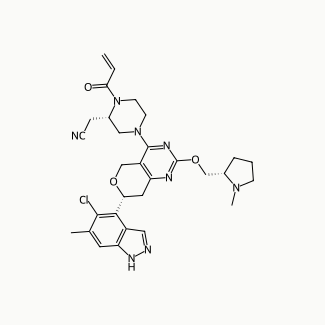 C=CC(=O)N1CCN(c2nc(OC[C@@H]3CCCN3C)nc3c2CO[C@@H](c2c(Cl)c(C)cc4[nH]ncc24)C3)C[C@@H]1CC#N